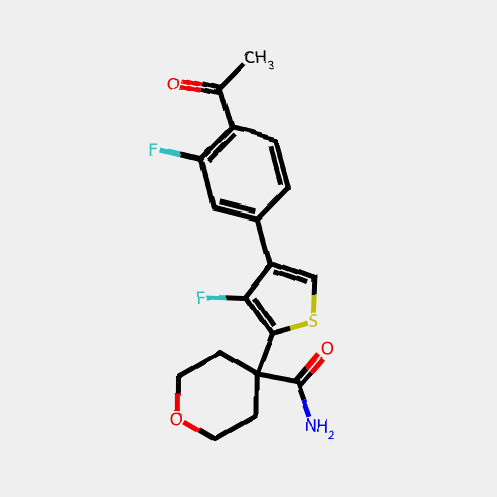 CC(=O)c1ccc(-c2csc(C3(C(N)=O)CCOCC3)c2F)cc1F